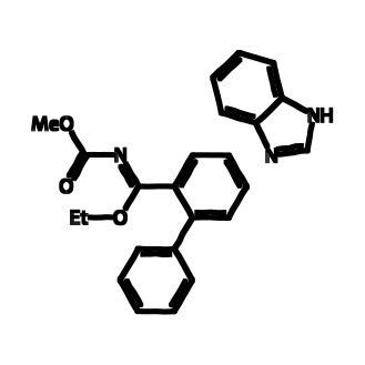 CCOC(=NC(=O)OC)c1ccccc1-c1ccccc1.c1ccc2[nH]cnc2c1